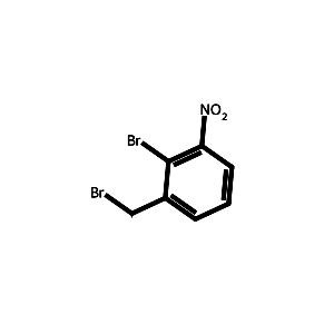 O=[N+]([O-])c1cccc([CH]Br)c1Br